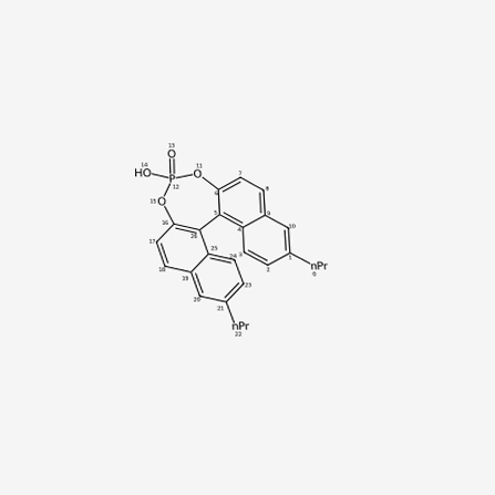 CCCc1ccc2c3c(ccc2c1)OP(=O)(O)Oc1ccc2cc(CCC)ccc2c1-3